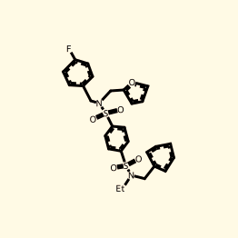 CCN(Cc1ccccc1)S(=O)(=O)c1ccc(S(=O)(=O)N(Cc2ccc(F)cc2)Cc2ccco2)cc1